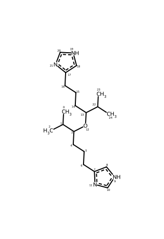 CC(C)C(CCCc1c[nH]cn1)OC(CCCc1c[nH]cn1)C(C)C